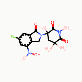 BN1C(=O)C(B)(B)CC(B)(N2Cc3c(cc(F)cc3N(B)O)C2=O)C1=O